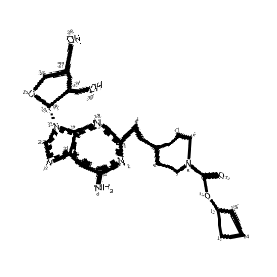 Nc1nc(CC2CCN(C(=O)OC3CCC3)CC2)nc2c1ncn2[C@@H]1OCC(O)C1O